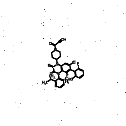 C#CC(=O)N1CCC(n2c(=O)c(=O)n(-c3c(C)ccnc3C(C)C)c3c(F)c(-c4c(O)cccc4F)c(Cl)cc32)CC1